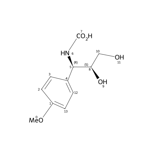 COc1ccc([C@@H](NC(=O)O)[C@H](O)CO)cc1